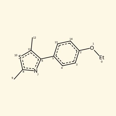 CCOc1ccc(-c2nc(C)sc2C)cc1